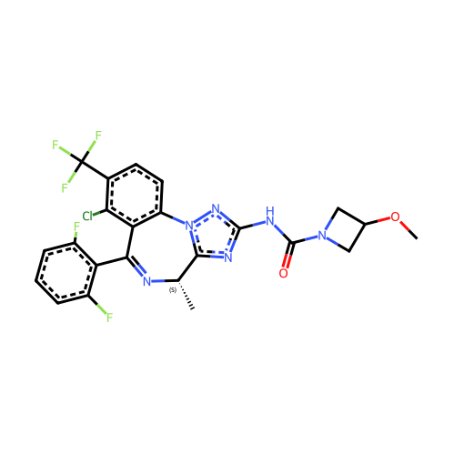 COC1CN(C(=O)Nc2nc3n(n2)-c2ccc(C(F)(F)F)c(Cl)c2C(c2c(F)cccc2F)=N[C@H]3C)C1